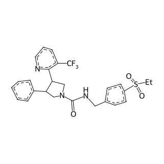 CCS(=O)(=O)c1ccc(CNC(=O)N2CC(c3ccccc3)C(c3ncccc3C(F)(F)F)C2)cc1